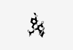 COc1ccc(CN(CC(F)F)c2cc(Cl)nn3ccnc23)cc1